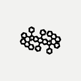 c1ccc(-c2c3cc4c(-c5ccccc5)c(-c5ccccc5)n(-c5c6ccccc6cc6ccccc56)c4cc3c(-c3ccccc3)c3cc4c(-c5ccccc5)c(-c5ccccc5)n(-c5c6ccccc6cc6ccccc56)c4cc23)cc1